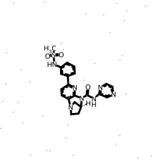 CS(=O)(=O)Nc1cccc(-c2ccc3c(n2)N(C(=O)Nc2cnccn2)[C@H]2CCN3C2)c1